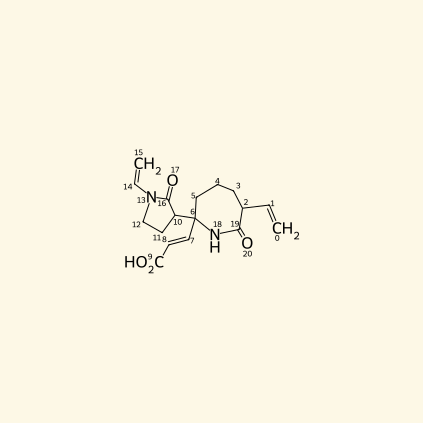 C=CC1CCCC(C=CC(=O)O)(C2CCN(C=C)C2=O)NC1=O